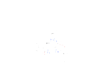 O=C(NCc1ccc(F)cc1)C1CN(C(=O)C(c2ccccc2)c2ccccc2)CCN1C(=O)c1ccccc1